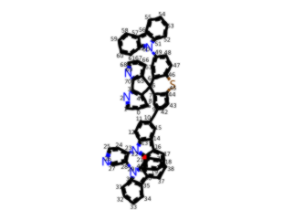 c1cnc2c(c1)C1(c3cc(-c4ccc5c(c4)c4ccccc4n5-c4ccncc4-n4c5ccccc5c5ccccc54)ccc3Sc3ccc(-n4c5ccccc5c5ccccc54)cc31)c1cccnc1-2